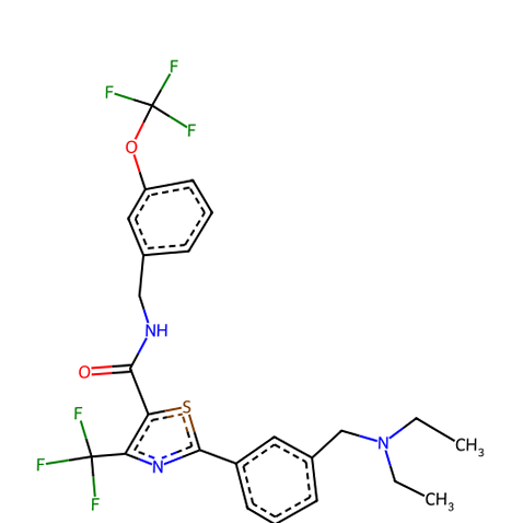 CCN(CC)Cc1cccc(-c2nc(C(F)(F)F)c(C(=O)NCc3cccc(OC(F)(F)F)c3)s2)c1